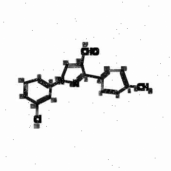 Cc1ccc(-c2nn(-c3cccc(Cl)c3)cc2C=O)cc1